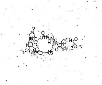 CO[C@@H](C)c1ncc(N2CCN(C3CC3)CC2)cc1-c1c2c3cc(ccc3n1CC(F)(F)F)-c1csc(n1)C[C@H](NC(=O)[C@H](C(C)C)N1CC[C@]3(CCN(C(=O)[C@H]4[C@@H](C5CC5)N4C)C3)C1)C(=O)N1CCC[C@H](N1)C(=O)OCC(C)(C)C2